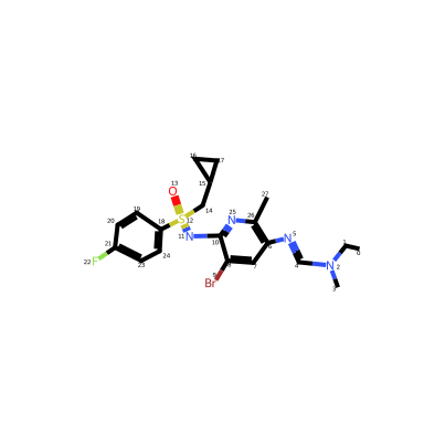 CCN(C)C=Nc1cc(Br)c(N=S(=O)(CC2CC2)c2ccc(F)cc2)nc1C